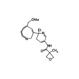 CCC1(/C2=C/C(COC)=C=C=C=NC2)CC=C(NC(=O)C2(C)COC2)C=N1